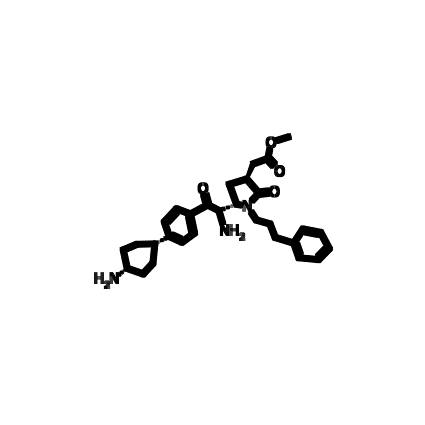 COC(=O)C[C@@H]1C[C@@H](C(N)C(=O)c2ccc([C@H]3CC[C@@H](N)CC3)cc2)N(CCCc2ccccc2)C1=O